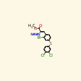 COC(=O)/C(=C/c1ccc(Sc2ccc(Cl)c(Cl)c2)cc1Br)N=[N+]=[N-]